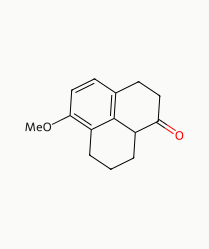 COc1ccc2c3c1CCCC3C(=O)CC2